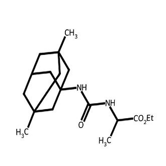 CCOC(=O)C(C)NC(=O)NC12CC3CC(C)(CC(C)(C3)C1)C2